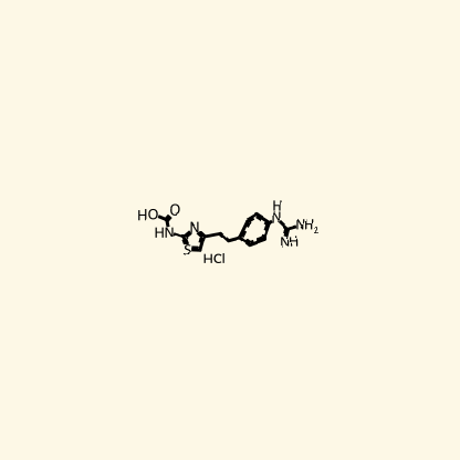 Cl.N=C(N)Nc1ccc(CCc2csc(NC(=O)O)n2)cc1